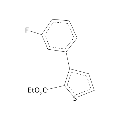 CCOC(=O)c1sccc1-c1cccc(F)c1